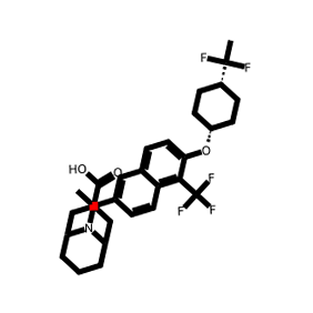 CC(c1ccc2c(C(F)(F)F)c(O[C@H]3CC[C@@H](C(C)(F)F)CC3)ccc2c1)N1C2CCCC1CC(C(=O)O)C2